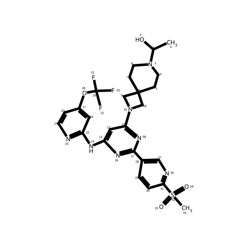 CC(O)N1CCC2(CC1)CN(c1cc(Nc3cc(OC(F)(F)F)ccn3)nc(-c3ccc(S(C)(=O)=O)nc3)n1)C2